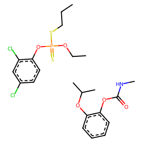 CCCSP(=S)(OCC)Oc1ccc(Cl)cc1Cl.CNC(=O)Oc1ccccc1OC(C)C